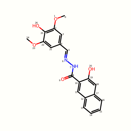 COc1cc(/C=N/NC(=O)c2cc3ccccc3cc2O)cc(OC)c1O